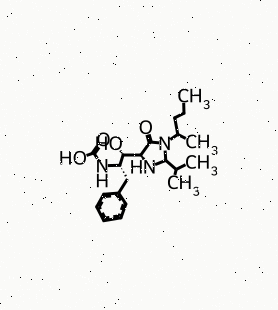 CCCC(C)N1C(=O)[C@H]([C@@H](O)[C@H](Cc2ccccc2)NC(=O)O)NC1C(C)C